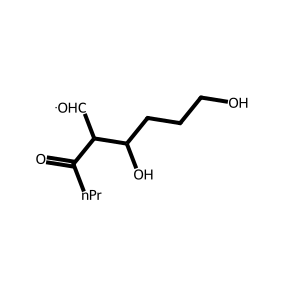 CCCC(=O)C([C]=O)C(O)CCCO